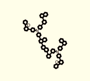 c1cc(-c2ccc(N(c3ccc(-c4ccc(-c5ccc6cc(-c7ccccc7-c7cccc(N(c8ccc(-c9cccc%10ccccc9%10)cc8)c8ccc(-c9cccc%10c9oc9ccccc9%10)cc8)c7)ccc6c5)c5ccccc45)cc3)c3ccc(-c4cccc5c4oc4ccccc45)cc3)cc2)cc(-c2cccc3ccccc23)c1